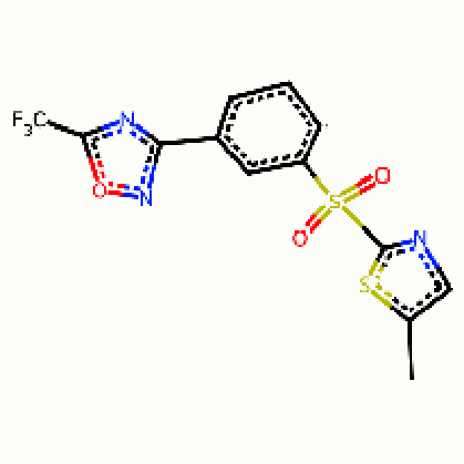 Cc1cnc(S(=O)(=O)c2[c]ccc(-c3noc(C(F)(F)F)n3)c2)s1